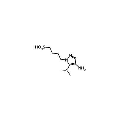 CN(C)c1c(N)cnn1CCCCS(=O)(=O)O